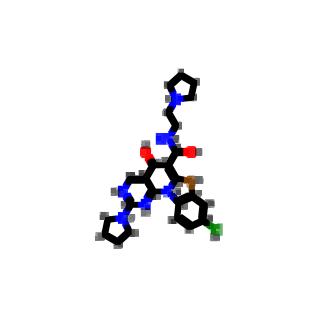 O=C(NCCN1CCCC1)c1c(=O)c2cnc(N3CCCC3)nc2n2c1sc1cc(Cl)ccc12